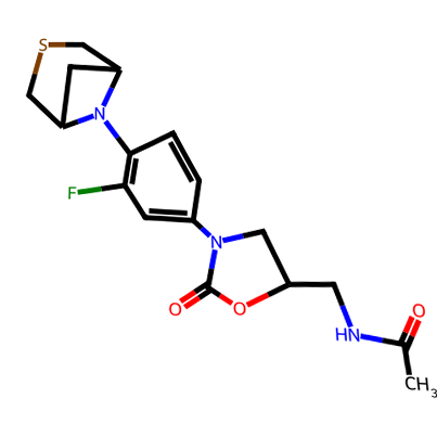 CC(=O)NCC1CN(c2ccc(N3C4CSCC3C4)c(F)c2)C(=O)O1